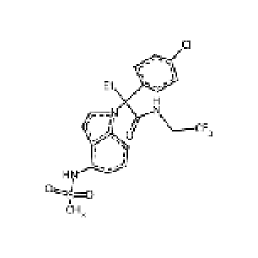 CCC(C(=O)NCC(F)(F)F)(c1ccc(Cl)cc1)n1ccc2c(NS(C)(=O)=O)cccc21